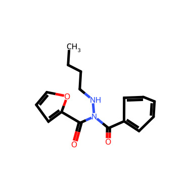 CCCCNN(C(=O)c1ccccc1)C(=O)c1ccco1